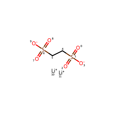 O=S(=O)([O-])CCS(=O)(=O)[O-].[Li+].[Li+]